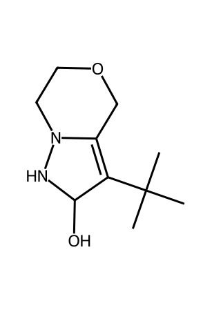 CC(C)(C)C1=C2COCCN2NC1O